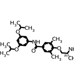 Cc1cc(C(=O)Nc2cc(OC(C)C)cc(OC(C)C)c2)cc(C)c1OC[C@@H](C)N